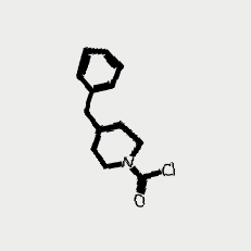 O=C(Cl)N1CCC(Cc2ccccc2)CC1